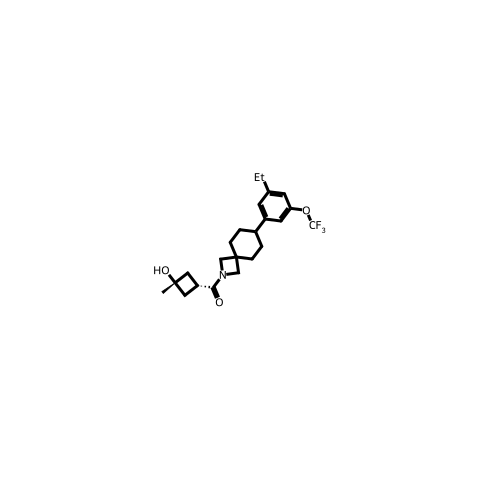 CCc1cc(OC(F)(F)F)cc(C2CCC3(CC2)CN(C(=O)[C@H]2C[C@@](C)(O)C2)C3)c1